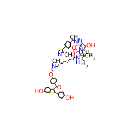 CCN(CCCCCCCC(=O)N[C@H](C(=O)N1C[C@@H](O)C[C@H]1C(=O)N[C@@H](C)c1ccc(-c2scnc2C)cc1)C(C)(C)C)CCOc1ccc(C(=O)c2c(-c3ccc(O)cc3)sc3cc(O)ccc23)cc1